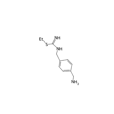 CCSC(=N)NCc1ccc(CN)cc1